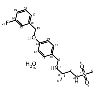 C[C@@H](CNS(C)(=O)=O)NCc1ccc(OCc2cccc(F)c2)cc1.O